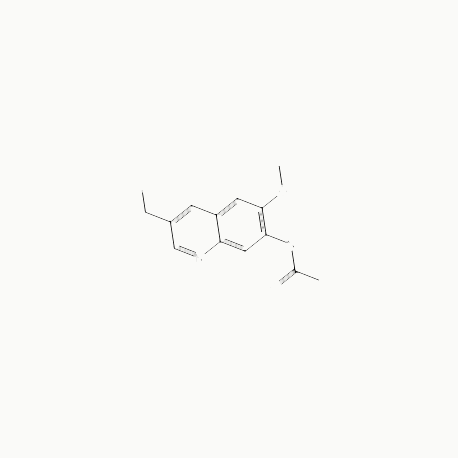 COc1cc2cc(CO)cnc2cc1NC(C)=O